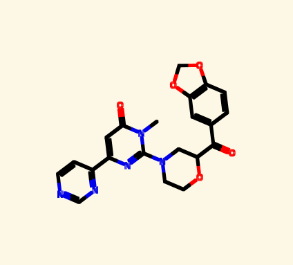 Cn1c(N2CCOC(C(=O)c3ccc4c(c3)OCO4)C2)nc(-c2ccncn2)cc1=O